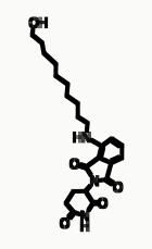 O=C1CCC(N2C(=O)c3cccc(NCCCCCCCCCCO)c3C2=O)C(=O)N1